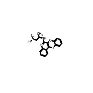 CCN(CC)CC(C)Nc1nc2ccccc2c2c1Oc1ccccc1O2